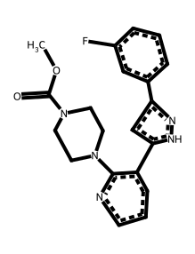 COC(=O)N1CCN(c2ncccc2-c2cc(-c3cccc(F)c3)n[nH]2)CC1